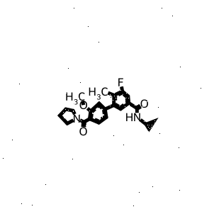 COc1cc(-c2cc(C(=O)NC3CC3)cc(F)c2C)ccc1C(=O)N1CCCC1